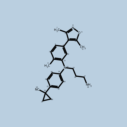 Cc1ccc(-c2c(C)noc2C)cc1N(CCCN)c1ccc(C2(C#N)CC2)cc1